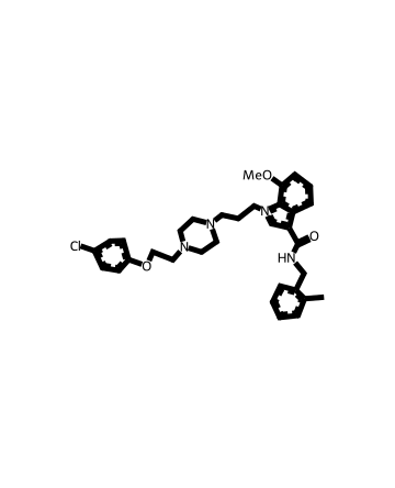 COc1cccc2c(C(=O)NCc3ccccc3C)cn(CCCN3CCN(CCOc4ccc(Cl)cc4)CC3)c12